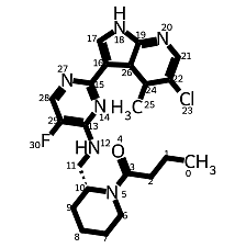 CCCC(=O)N1CCCC[C@@H]1CNc1nc(C2=CNC3=NC=C(Cl)C(C)C23)ncc1F